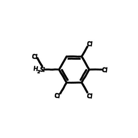 Cl[SiH2]c1cc(Cl)c(Cl)c(Cl)c1Cl